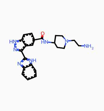 NCCN1CCC(NC(=O)c2ccc3[nH]nc(-c4nc5ccccc5[nH]4)c3c2)CC1